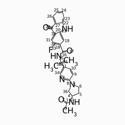 CC(=O)N[C@@H]1CCN(c2ccc(C(C)(C)NC(=O)c3cc4[nH]c5ccccc5c(=O)c4cc3F)cn2)C1